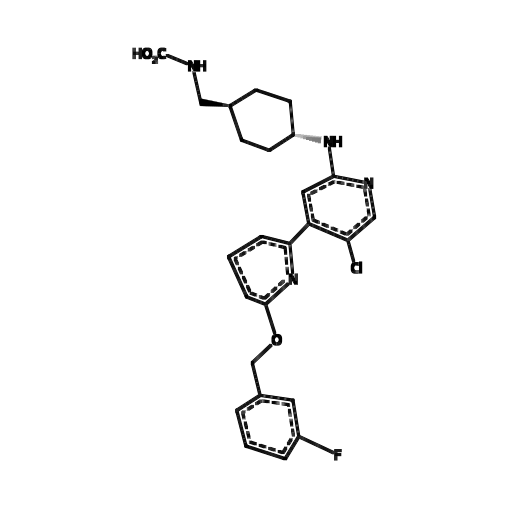 O=C(O)NC[C@H]1CC[C@H](Nc2cc(-c3cccc(OCc4cccc(F)c4)n3)c(Cl)cn2)CC1